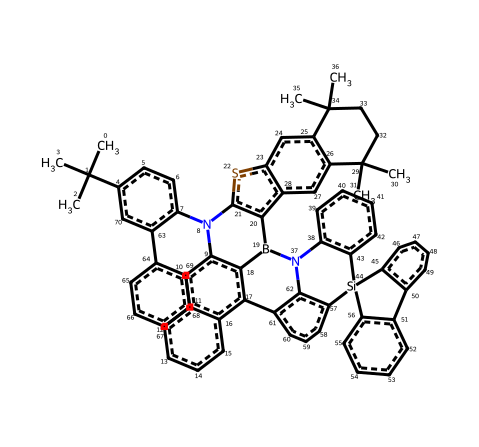 CC(C)(C)c1ccc(N2c3cc4ccccc4c4c3B(c3c2sc2cc5c(cc32)C(C)(C)CCC5(C)C)N2c3ccccc3[Si]3(c5ccccc5-c5ccccc53)c3cccc-4c32)c(-c2ccccc2)c1